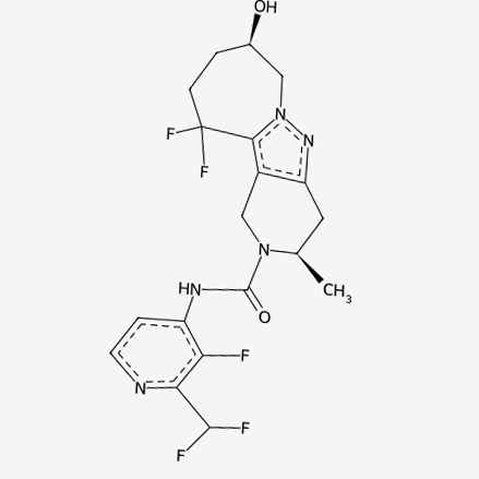 C[C@@H]1Cc2nn3c(c2CN1C(=O)Nc1ccnc(C(F)F)c1F)C(F)(F)CC[C@@H](O)C3